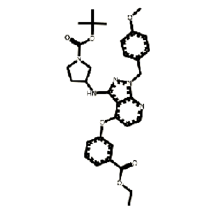 CCOC(=O)c1cccc(Oc2ccnc3c2c(NC2CCN(C(=O)OC(C)(C)C)C2)nn3Cc2ccc(OC)cc2)c1